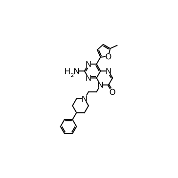 Cc1ccc(-c2nc(N)nc3c2ncc(=O)n3CCN2CCC(c3ccccc3)CC2)o1